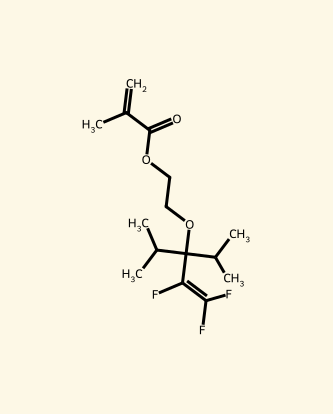 C=C(C)C(=O)OCCOC(C(F)=C(F)F)(C(C)C)C(C)C